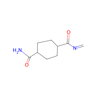 C=NC(=O)C1CCC(C(N)=O)CC1